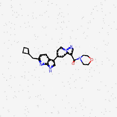 O=C(c1cnn2ccc(-c3c[nH]c4nc(CC5CCC5)ccc34)cc12)N1CCOCC1